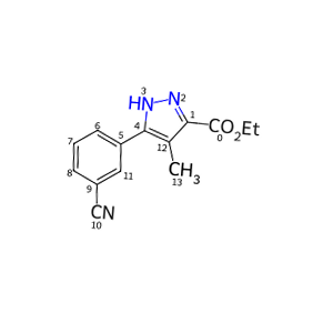 CCOC(=O)c1n[nH]c(-c2cccc(C#N)c2)c1C